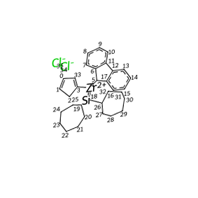 C1=CC[C]([Zr+2]([CH]2c3ccccc3-c3ccccc32)=[Si](C2CCCCCC2)C2CCCCCC2)=C1.[Cl-].[Cl-]